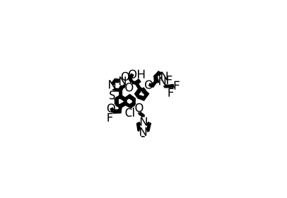 C=C(c1ccccc1OCc1ccnn1CC(F)(F)F)C(Oc1ncnc2sc3c4oc(F)cc4c4c(Cl)c(OCCN5CCN(C)CC5)ccc4c3c12)C(=O)O